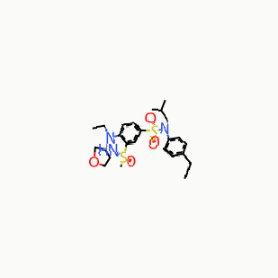 CCc1ccc(N(CC(C)C)S(=O)(=O)c2ccc(N(CC)[C@@H]3CCOC3)c(S(C)(=N)=O)c2)cc1